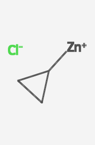 [Cl-].[Zn+][CH]1CC1